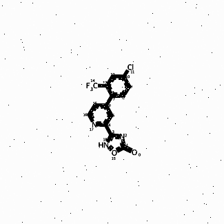 O=c1nc(-c2cc(-c3ccc(Cl)cc3C(F)(F)F)ccn2)[nH]o1